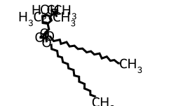 CCCCCCCCCCCCCCCCCCOP(=O)(OCCCCCCCCCCCCCCCCCC)OCc1cc(C)c(O)c(C(C)(C)C)c1